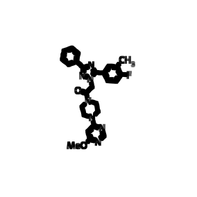 COc1cc(N2CCN(C(=O)Cn3nc(-c4ccccc4)nc3-c3ccc(F)c(C)c3)CC2)ncn1